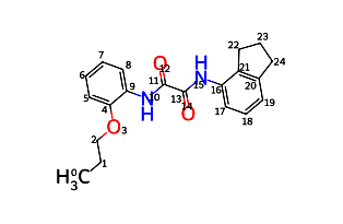 CCCOc1ccccc1NC(=O)C(=O)Nc1cccc2c1CCC2